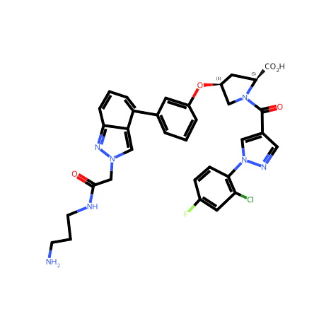 NCCCNC(=O)Cn1cc2c(-c3cccc(O[C@H]4C[C@@H](C(=O)O)N(C(=O)c5cnn(-c6ccc(F)cc6Cl)c5)C4)c3)cccc2n1